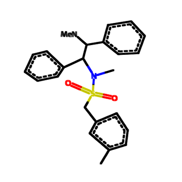 CNC(c1ccccc1)C(c1ccccc1)N(C)S(=O)(=O)Cc1cccc(C)c1